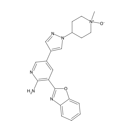 C[N+]1([O-])CCC(n2cc(-c3cnc(N)c(-c4nc5ccccc5o4)c3)cn2)CC1